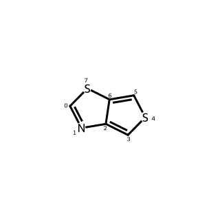 c1nc2cscc2s1